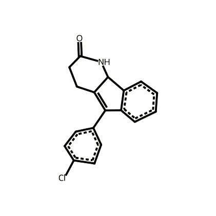 O=C1CCC2=C(c3ccc(Cl)cc3)c3ccccc3C2N1